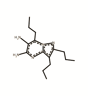 CCCc1nn2c(CCC)c(N)c(N)nc2c1CCC